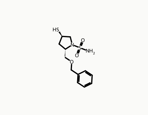 NS(=O)(=O)N1C[C@H](S)C[C@H]1COCc1ccccc1